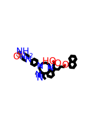 Cc1nn(C)c2c1-c1cccc3c(CCCOc4cccc5ccccc45)c(C(=O)O)n(c13)CCCN(c1ccc(N3CCN([S+](N)[O-])CC3)cc1)C2